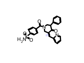 NS(=O)(=O)c1ccc(C(=O)N2C/C(=C/c3ccccn3)C(=O)C(c3ccccc3)C2)cc1